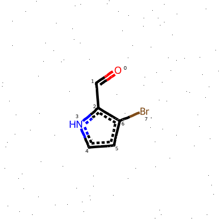 O=Cc1[nH]ccc1Br